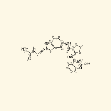 CC(=O)NCC#Cc1cc2cc(NC(=O)[C@@H]3CCCN3C(=O)[C@H](NC(=O)O)c3ccccc3)ccc2[nH]1